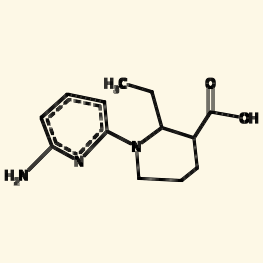 CCC1C(C(=O)O)CCCN1c1cccc(N)n1